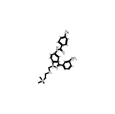 C[Si](C)(C)CCOCn1nc(-c2cccc([N+](=O)[O-])c2)c2cc(NC(=O)c3ccc(C#N)cc3)ccc21